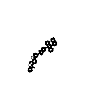 C=Cc1c(-c2oc3ccccc3c2C)ccc2c1oc1ccc(-c3ccc4cc(-c5c6ccccc6c(-c6cccc7ccccc67)c6ccccc56)ccc4c3)cc12